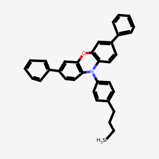 [SiH3]CCCc1ccc(N2c3ccc(-c4ccccc4)cc3Oc3cc(-c4ccccc4)ccc32)cc1